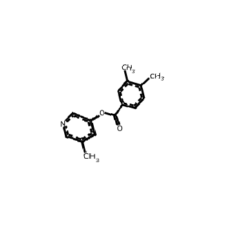 Cc1cncc(OC(=O)c2ccc(C)c(C)c2)c1